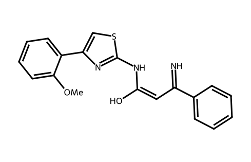 COc1ccccc1-c1csc(N/C(O)=C\C(=N)c2ccccc2)n1